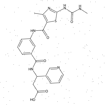 CNC(=O)Nc1nc(C)c(C(=O)Nc2cccc(C(=O)NC(CC(=O)O)c3cccnc3)c2)s1